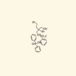 CC(C)CCC(CO)(CO)C(C)C.O=C(O)c1ccccc1.O=P(O)(c1ccccc1)c1ccccc1